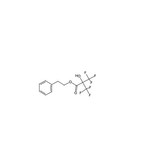 O=C(OCCc1ccccc1)C(O)(C(F)(F)F)C(F)(F)F